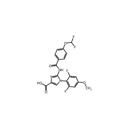 COc1cc(F)c(-n2cc(C(=O)O)nc2NC(=O)c2ccc(OC(F)F)cc2)c(F)c1